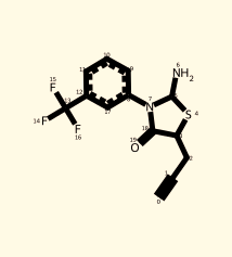 C#CCC1SC(N)N(c2cccc(C(F)(F)F)c2)C1=O